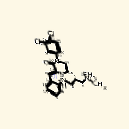 CN(C)CCCNc1ccccc1/C=C1\SCCN(c2ccc(Cl)c(Cl)c2)C1=O